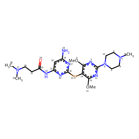 COc1nc(N2CCN(C)CC2)nc(OC)c1Sc1nc(N)cc(NC(=O)CCN(C)C)n1